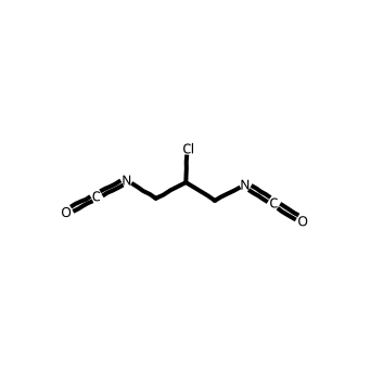 O=C=NCC(Cl)CN=C=O